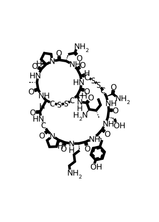 CC[C@H](C)[C@H](N)C(=O)N[C@H]1CSSC[C@@H]2NC(=O)[C@H](C)NC(=O)[C@@H]3CCCN3C(=O)[C@H](CC(N)=O)NC(=O)[C@H](CSSC[C@@H](C(N)=O)NC(=O)[C@H](CO)NC(=O)[C@H](Cc3ccc(O)cc3)NC(=O)[C@H](CCCCN)NC(=O)[C@@H]3CCCN3C(=O)CNC2=O)NC1=O